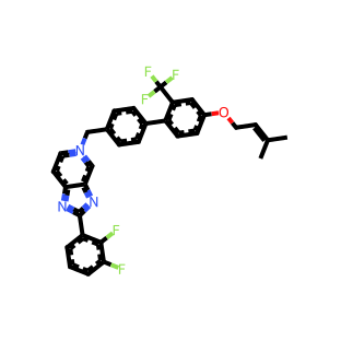 CC(C)=CCOc1ccc(-c2ccc(Cn3ccc4nc(-c5cccc(F)c5F)nc-4c3)cc2)c(C(F)(F)F)c1